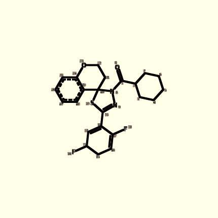 O=C(C1CCCCC1)N1N=C(C2=CC(F)CC=C2F)SC12CCOc1ccccc12